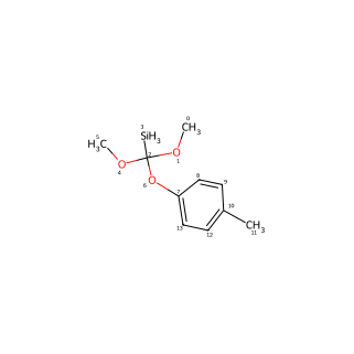 COC([SiH3])(OC)Oc1ccc(C)cc1